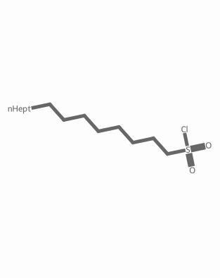 CCCCCCCCCCCCCCCS(=O)(=O)Cl